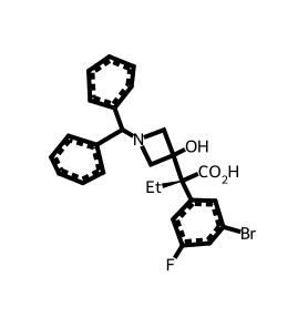 CC[C@@](C(=O)O)(c1cc(F)cc(Br)c1)C1(O)CN(C(c2ccccc2)c2ccccc2)C1